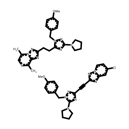 COc1ccc(Cn2nc(C#Cc3nc4cc(Cl)ccn4n3)nc2N2CCCC2)cc1.COc1ccc(Cn2nc(N3CCCC3)nc2CCc2nc3c(C)ncc(C)n3n2)cc1